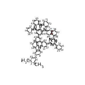 Cc1cc(C)cc(-c2ccc3c(c2)c2ccccc2n3-c2ccc(-c3nc(-c4ccccc4)nc(-c4ccccc4)n3)cc2-c2cccc(-c3cc4c5c(c3)N(c3ccccc3)c3ccccc3B5c3ccccc3N4c3ccccc3)c2)c1